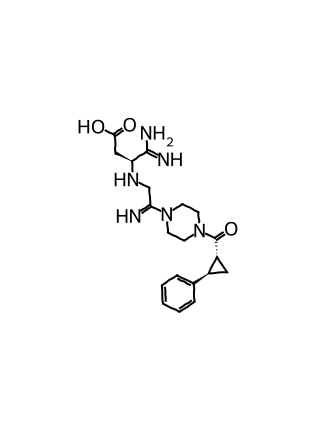 N=C(N)[C@H](CC(=O)O)NCC(=N)N1CCN(C(=O)[C@@H]2C[C@H]2c2ccccc2)CC1